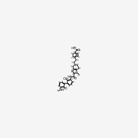 CNc1cccc(-c2cccc(NC(=O)c3nc4c(n3C)CCN(CCC35CCC(C(=O)O)(CC3)C5)C4)c2Cl)c1Cl